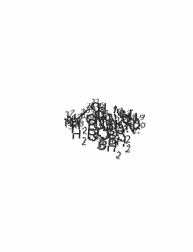 Bc1c(B)c(B)c(-n2c(C(C)NC(=O)c3c(N)nn4cccnc34)cc3cccc(C#Cc4ccnn4C)c3c2=O)c(B)c1B